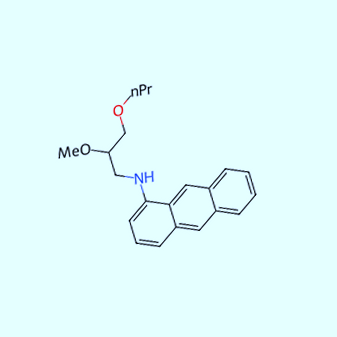 CCCOCC(CNc1cccc2cc3ccccc3cc12)OC